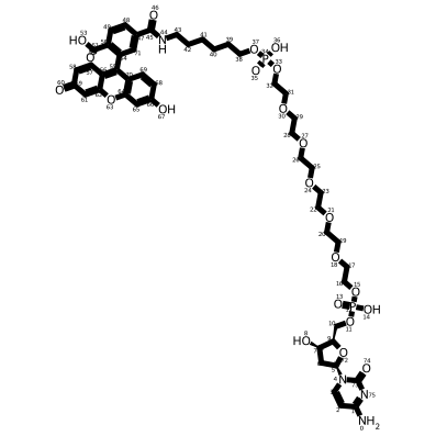 Nc1ccn([C@H]2C[C@@H](O)[C@@H](COP(=O)(O)OCCOCCOCCOCCOCCOCCOP(=O)(O)OCCCCCCNC(=O)c3ccc(C(=O)O)c(-c4c5ccc(=O)cc-5oc5cc(O)ccc45)c3)O2)c(=O)n1